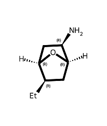 CC[C@@H]1C[C@H]2O[C@@H]1C[C@H]2N